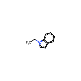 FC(F)(F)Cn1ccc2ccccc21